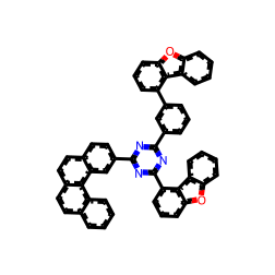 c1cc(-c2nc(-c3ccc4ccc5ccc6ccccc6c5c4c3)nc(-c3cccc4oc5ccccc5c34)n2)cc(-c2cccc3oc4ccccc4c23)c1